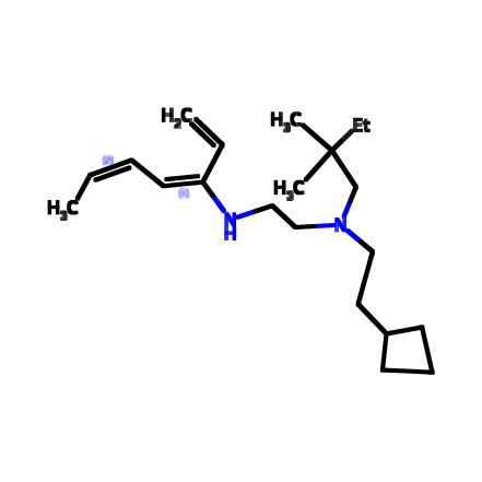 C=C/C(=C\C=C/C)NCCN(CCC1CCC1)CC(C)(C)CC